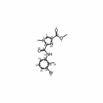 COC(=O)c1cn(C)c(C(=O)Nc2cccc(Br)c2C)n1